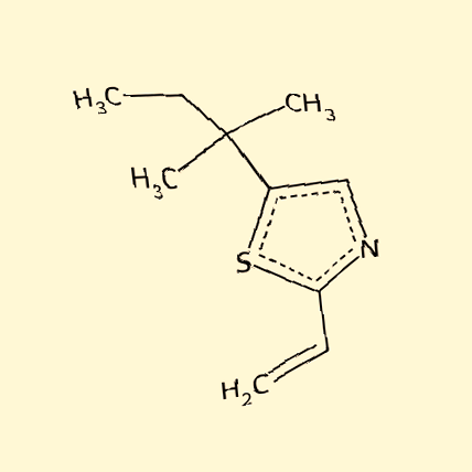 C=Cc1ncc(C(C)(C)CC)s1